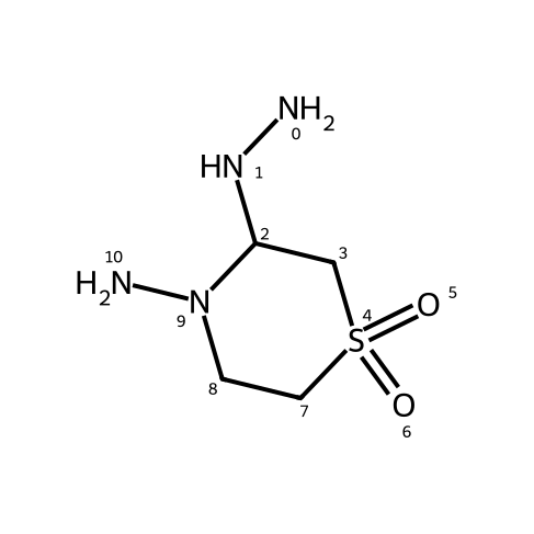 NNC1CS(=O)(=O)CCN1N